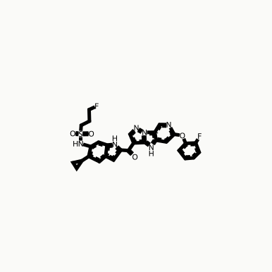 O=C(c1cc2cc(C3CC3)c(NS(=O)(=O)CCCF)cc2[nH]1)c1cnn2c1[nH]c1cc(Oc3ccccc3F)ncc12